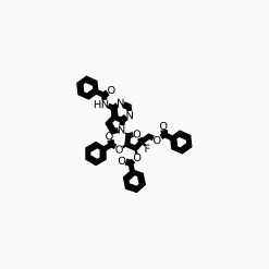 O=C(Nc1ncnc2c1ccn2[C@@H]1O[C@](F)(COC(=O)c2ccccc2)[C@@H](OC(=O)c2ccccc2)[C@H]1OC(=O)c1ccccc1)c1ccccc1